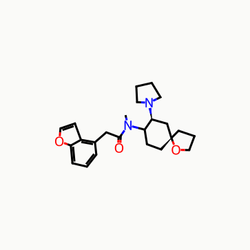 CN(C(=O)Cc1cccc2occc12)C1CC[C@]2(CCCO2)C[C@@H]1N1CCCC1